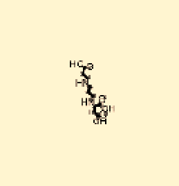 O=C(O)CCNCCCNC(CC(=O)O)C(=O)O